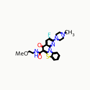 COCCNC(=O)c1c(=O)c2cc(F)c(N3CCN(C)CC3)nc2n2c1sc1ccccc12